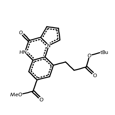 COC(=O)c1cc(CCC(=O)OC(C)(C)C)c2c(c1)[nH]c(=O)c1cccn12